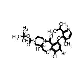 Cc1ccnc(C(C)C)c1Oc1cc(Br)c(Cl)c2c1C(=O)N1CCN(C(=O)OC(C)(C)C)C[C@H]1CO2